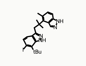 Cc1ccc2[nH]ncc2c1C(C)(C)Cc1n[nH]c2c(C(C)(C)C)c(I)ccc12